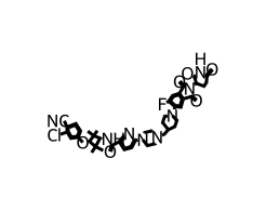 CC1(C)[C@H](NC(=O)c2ccc(N3CCN(CC4CCN(c5cc6c(cc5F)C(=O)N(C5CCC(=O)NC5=O)C6=O)CC4)CC3)nc2)C(C)(C)[C@H]1Oc1ccc(C#N)c(Cl)c1